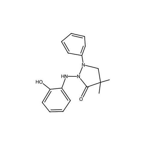 CC1(C)CN(c2ccccc2)N(Nc2ccccc2O)C1=O